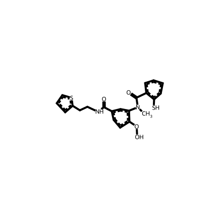 CN(C(=O)c1ccccc1S)c1cc(C(=O)NCCc2cccs2)ccc1OO